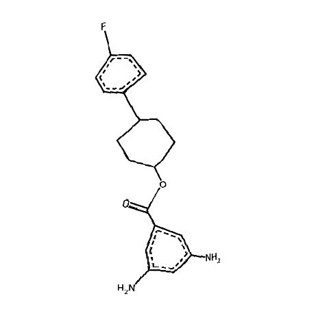 Nc1cc(N)cc(C(=O)OC2CCC(c3ccc(F)cc3)CC2)c1